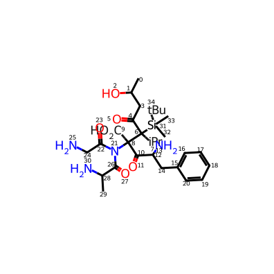 CC(O)CC(=O)C(C(C)C)(C(C(=O)O)(C(=O)C(N)Cc1ccccc1)N(C(=O)CN)C(=O)C(C)N)[Si](C)(C)C(C)(C)C